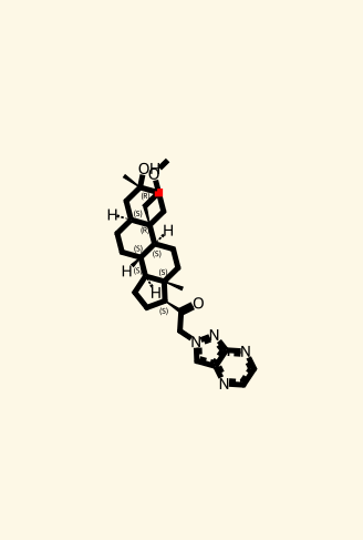 COCC[C@]12CC[C@@](C)(O)C[C@@H]1CC[C@H]1[C@@H]3CC[C@H](C(=O)Cn4cc5nccnc5n4)[C@@]3(C)CC[C@@H]12